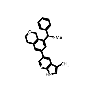 CN[C@H](c1ccccc1)c1cc(-c2cnc3[nH]cc(C)c3c2)cc2c1COCC2